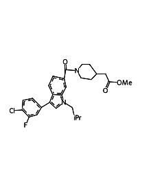 COC(=O)CC1CCN(C(=O)c2ccc3c(-c4ccc(Cl)c(F)c4)cn(CC(C)C)c3c2)CC1